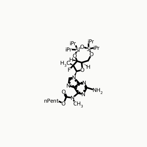 CCCCCOC(=O)N(C)c1nc(N)nc2c1ncn2[C@@H]1O[C@@H]2CO[Si](C(C)C)(C(C)C)O[Si](C(C)C)(C(C)C)O[C@H]2[C@@]1(C)F